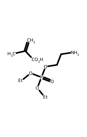 C=C(C)C(=O)O.CCOP(=O)(OCC)OCCN